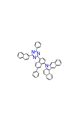 C1=CC2C=Cc3c(c4cc5ccccc5cc4n3-c3ccc(-c4nc(-c5ccccc5)nc(-c5ccc6ccccc6c5)n4)c4ccc(-c5ccccc5)cc34)C2C=C1